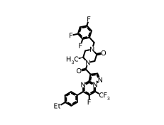 CCc1ccc(-c2nc3c(C(=O)N4CC(=O)N(Cc5cc(F)cc(F)c5F)C[C@@H]4C)cnn3c(C(F)(F)F)c2F)cc1